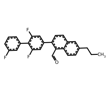 CCCc1ccc2c(C=O)c(-c3cc(F)c(-c4cccc(F)c4)c(F)c3)ccc2c1